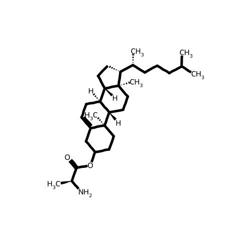 CC(C)CCC[C@@H](C)[C@H]1CC[C@H]2[C@@H]3CC=C4CC(OC(=O)[C@H](C)N)CC[C@]4(C)[C@H]3CC[C@]12C